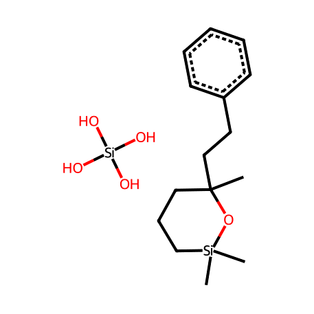 CC1(CCc2ccccc2)CCC[Si](C)(C)O1.O[Si](O)(O)O